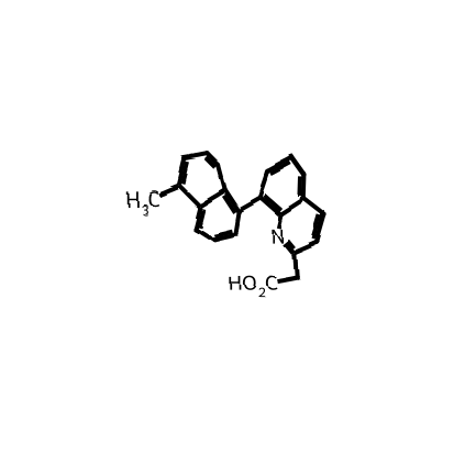 Cc1cccc2c(-c3cccc4ccc(CC(=O)O)nc34)cccc12